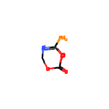 O=C1OCN=C(P)O1